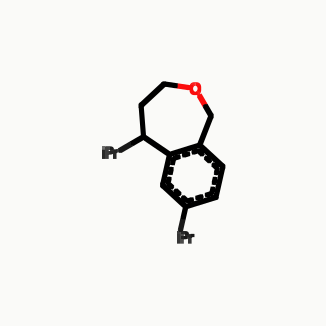 CC(C)c1ccc2c(c1)C(C(C)C)CCOC2